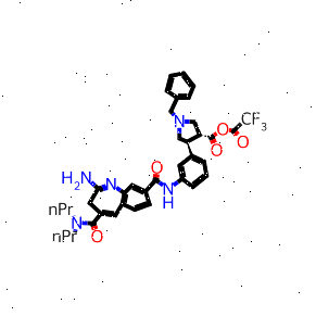 CCCN(CCC)C(=O)C1=Cc2ccc(C(=O)Nc3cccc([C@H]4CN(Cc5ccccc5)C[C@@H]4C(=O)OC(=O)C(F)(F)F)c3)cc2N=C(N)C1